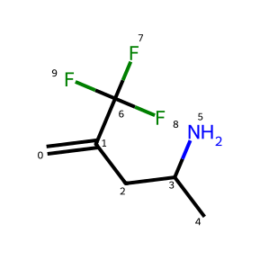 C=C(CC(C)N)C(F)(F)F